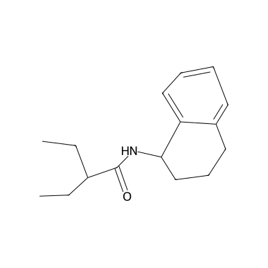 CCC(CC)C(=O)NC1CCCc2ccccc21